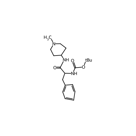 CN1CCC(NC(=O)C(Cc2ccccc2)NC(=O)OC(C)(C)C)CC1